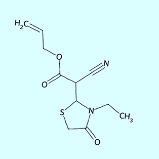 C=CCOC(=O)C(C#N)C1SCC(=O)N1CC